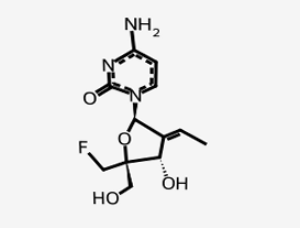 C/C=C1/[C@H](n2ccc(N)nc2=O)O[C@@](CO)(CF)[C@H]1O